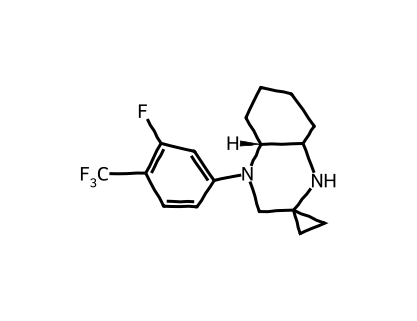 Fc1cc(N2CC3(CC3)NC3CCCC[C@H]32)ccc1C(F)(F)F